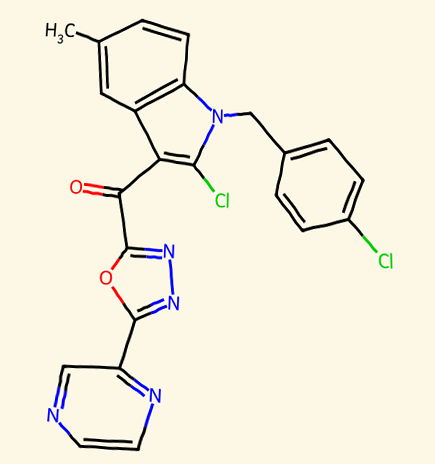 Cc1ccc2c(c1)c(C(=O)c1nnc(-c3cnccn3)o1)c(Cl)n2Cc1ccc(Cl)cc1